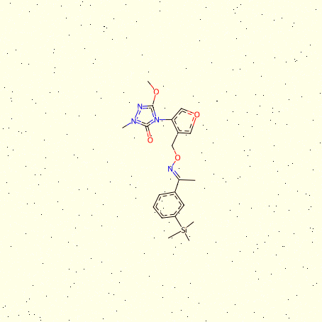 COc1nn(C)c(=O)n1-c1cocc1CON=C(C)c1cccc([Si](C)(C)C)c1